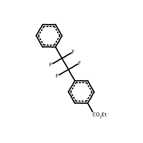 CCOC(=O)c1ccc(C(F)(F)C(F)(F)c2ccccc2)cc1